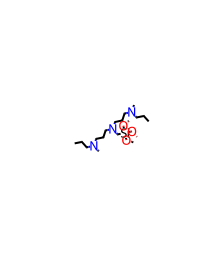 CCCN(C)CCCN(CCCN(C)CCC)C[Si](OC)(OC)OC